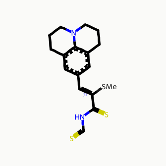 CS/C(=C\c1cc2c3c(c1)CCCN3CCC2)C(=S)NC=S